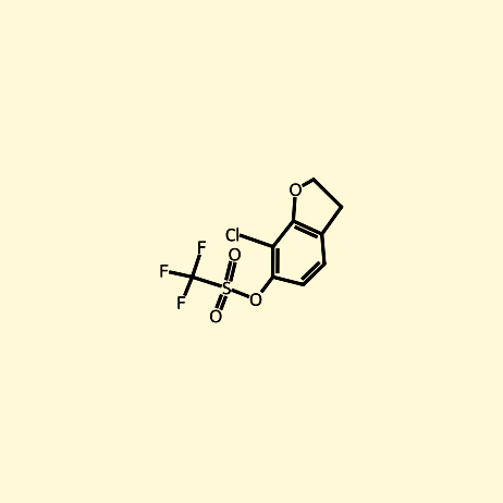 O=S(=O)(Oc1ccc2c(c1Cl)OCC2)C(F)(F)F